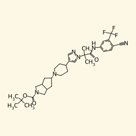 CC(C)(C)OC(=O)N1CC2CC(N3CCC(c4cnn(C(C)(C)C(=O)Nc5ccc(C#N)c(C(F)(F)F)c5)c4)CC3)CC2C1